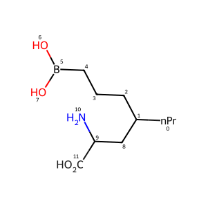 CCCC(CCCB(O)O)CC(N)C(=O)O